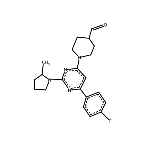 CC1CCCN1c1nc(-c2ccc(F)cc2)cc(N2CCC(C=O)CC2)n1